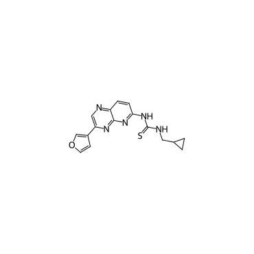 S=C(NCC1CC1)Nc1ccc2ncc(-c3ccoc3)nc2n1